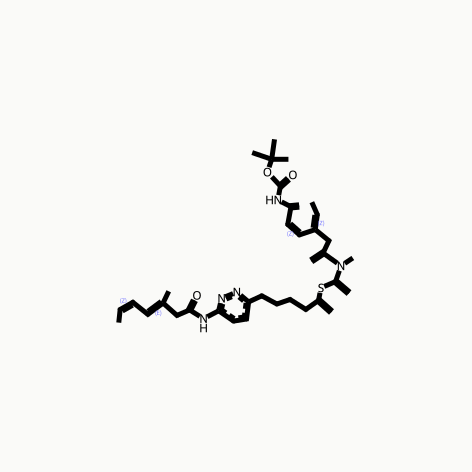 C=C(/C=C\C(=C/C)CC(=C)N(C)C(=C)SC(=C)CCCCc1ccc(NC(=O)C/C(C)=C/C=C\C)nn1)NC(=O)OC(C)(C)C